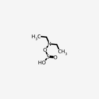 CCN(CC)OS(=O)O